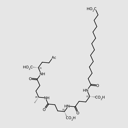 CC(=O)CC[C@H](NC(=O)CC[C@@H](C)NC(=O)CC[C@H](NC(=O)CC[C@H](NC(=O)CCCCCCCCCCCCC(=O)O)C(=O)O)C(=O)O)C(=O)O